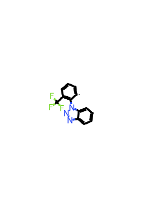 FC(F)(F)c1ccc[c]c1-n1nnc2ccccc21